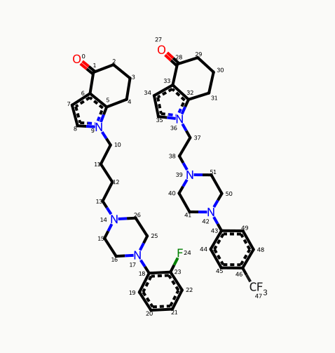 O=C1CCCc2c1ccn2CCCCN1CCN(c2ccccc2F)CC1.O=C1CCCc2c1ccn2CCN1CCN(c2ccc(C(F)(F)F)cc2)CC1